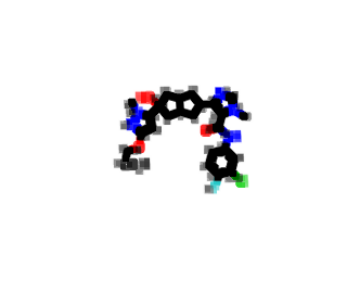 Cn1cnc(C2CC3CC(O)(c4cc(OCC(=O)O)nn4C)CC3C2)c1C(=O)Nc1ccc(F)c(Cl)c1